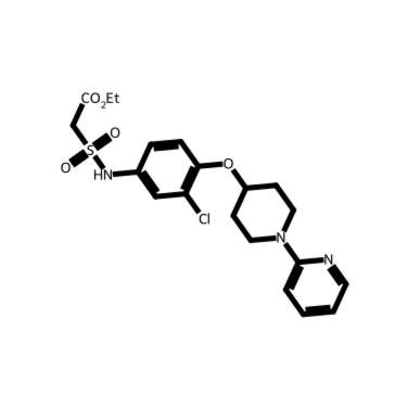 CCOC(=O)CS(=O)(=O)Nc1ccc(OC2CCN(c3ccccn3)CC2)c(Cl)c1